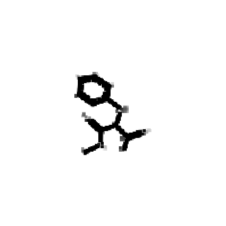 COC(=O)C(Nc1ccccc1)C(C)=O